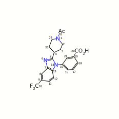 CC(=O)N1CCC(c2nc3cc(C(F)(F)F)ccc3n2-c2cccc(C(=O)O)c2)CC1